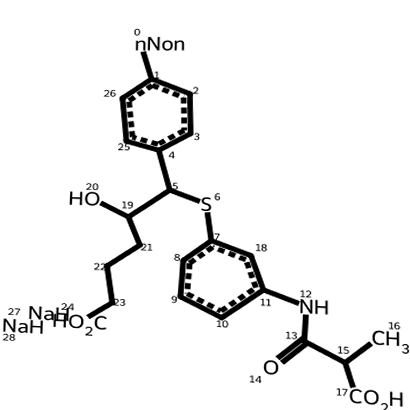 CCCCCCCCCc1ccc(C(Sc2cccc(NC(=O)C(C)C(=O)O)c2)C(O)CCCC(=O)O)cc1.[NaH].[NaH]